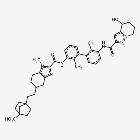 Cc1c(NC(=O)c2cc3n(n2)CCCC3O)cccc1-c1cccc(NC(=O)c2nc3c(n2C)CCN(CCC24CCC(C(=O)O)(CC2)C4)C3)c1C